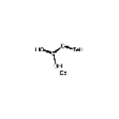 OB(O)O[TeH].[Gd]